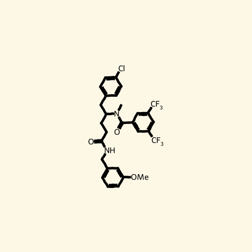 COc1cccc(CNC(=O)CCC(Cc2ccc(Cl)cc2)N(C)C(=O)c2cc(C(F)(F)F)cc(C(F)(F)F)c2)c1